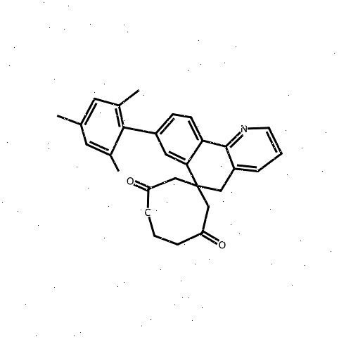 Cc1cc(C)c(-c2ccc3c(c2)C2(CC(=O)CCCC(=O)C2)Cc2cccnc2-3)c(C)c1